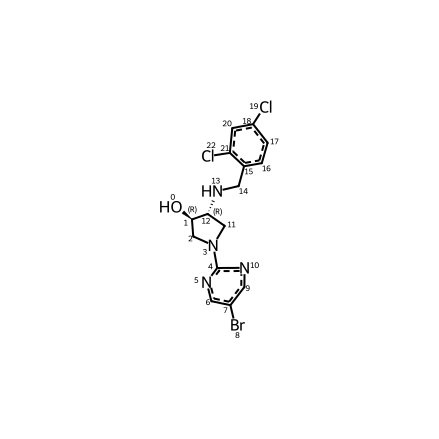 O[C@@H]1CN(c2ncc(Br)cn2)C[C@H]1NCc1ccc(Cl)cc1Cl